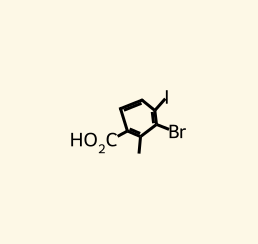 Cc1c(C(=O)O)ccc(I)c1Br